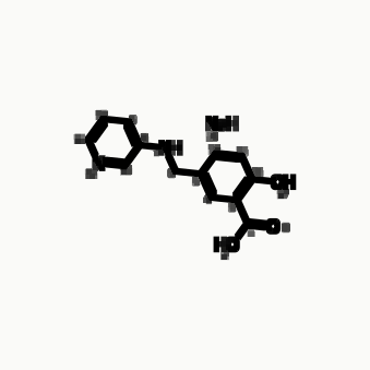 O=C(O)c1cc(CNc2cccnc2)ccc1O.[NaH]